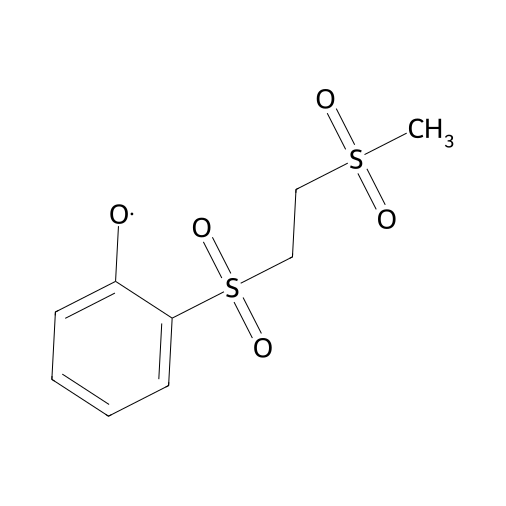 CS(=O)(=O)CCS(=O)(=O)c1ccccc1[O]